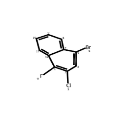 Fc1c(Cl)cc(Br)c2ccccc12